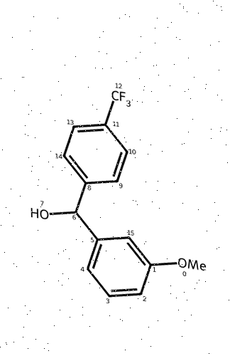 COc1cccc(C(O)c2ccc(C(F)(F)F)cc2)c1